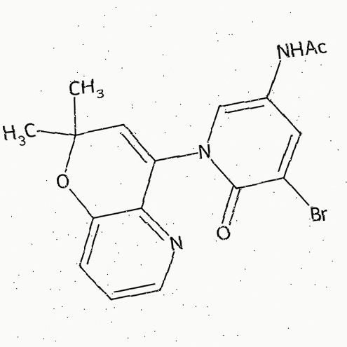 CC(=O)Nc1cc(Br)c(=O)n(C2=CC(C)(C)Oc3cccnc32)c1